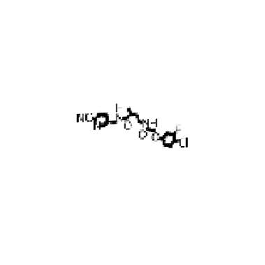 C=C(CCNC(=O)COc1ccc(Cl)c(F)c1)C(=O)NCc1ccc(C#N)nc1